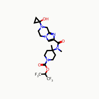 CN(C(=O)c1cn2c(n1)CN(C1(O)CC1)CC2)C1(C)CCN(C(=O)OC(C(F)(F)F)C(F)(F)F)CC1